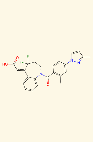 Cc1ccn(-c2ccc(C(=O)N3CCC(F)(F)C(=CC(=O)O)c4ccccc43)c(C)c2)n1